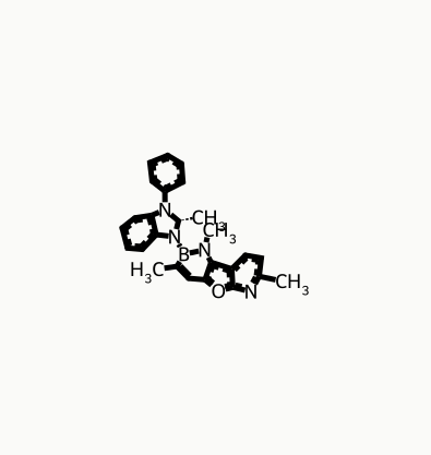 CC1=Cc2oc3nc(C)ccc3c2N(C)B1N1c2ccccc2N(c2ccccc2)[C@@H]1C